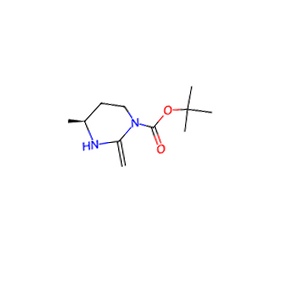 C=C1N[C@@H](C)CCN1C(=O)OC(C)(C)C